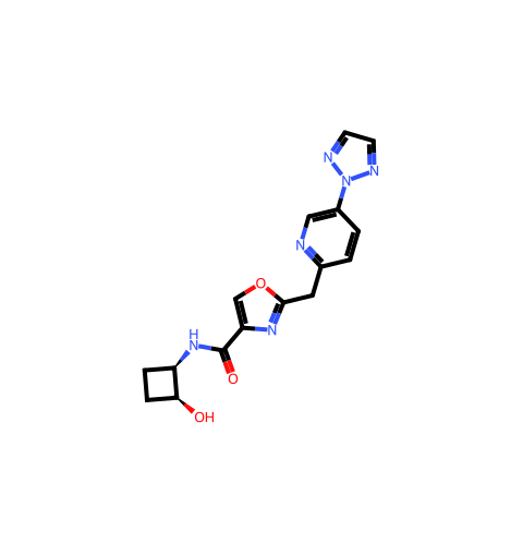 O=C(N[C@@H]1CC[C@@H]1O)c1coc(Cc2ccc(-n3nccn3)cn2)n1